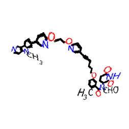 Cc1ccc(OCCCCC#Cc2ccc(OCCCOc3ccc(-c4ccc5c6cnccc6n(C)c5c4)cn3)nc2)cc1C(=O)N(C=O)C1CCC(=O)NC1=O